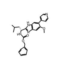 COc1cc2nc([C@@H](CC(C)C)NC(=O)OCc3ccccc3)[nH]c2cc1-c1ccncc1